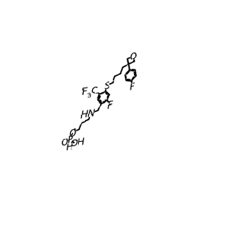 O=[PH](O)OCCCNCc1cc(C(F)(F)F)c(SCCCCC2(c3ccc(F)cc3)COC2)cc1F